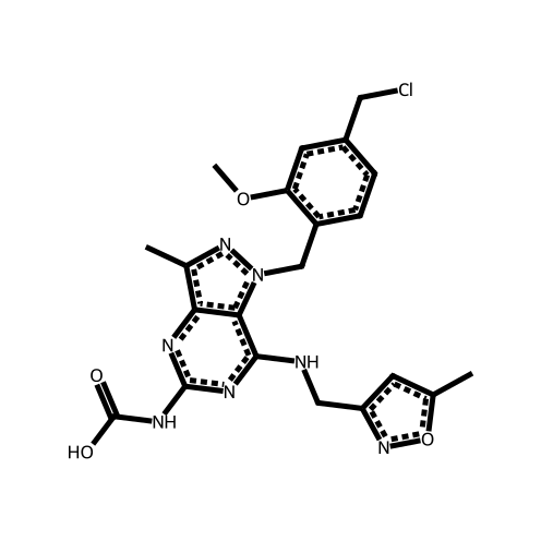 COc1cc(CCl)ccc1Cn1nc(C)c2nc(NC(=O)O)nc(NCc3cc(C)on3)c21